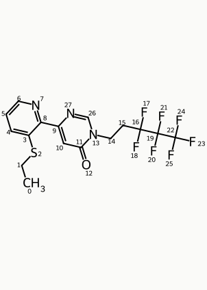 CCSc1cccnc1-c1cc(=O)n(CCC(F)(F)C(F)(F)C(F)(F)F)cn1